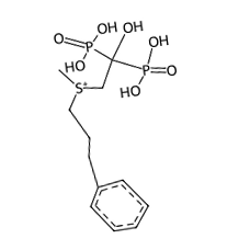 C[S+](CCCc1ccccc1)CC(O)(P(=O)(O)O)P(=O)(O)O